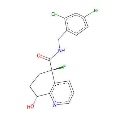 O=C(NCc1ccc(Br)cc1Cl)[C@@]1(F)CC[C@@H](O)c2ncccc21